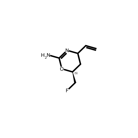 C=CC1C[C@@H](CF)OC(N)=N1